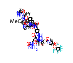 CC[C@H](C)[C@@H]([C@@H](CC(=O)N1CCC[C@H]1[C@H](OC)[C@@H](C)C(=O)N[C@@H](Cc1ccccc1)C(=O)NCc1ccc(NC(=O)[C@H](CCCNC(N)=O)NC(=O)[C@@H](NC(=O)CCC(=O)N2CC[C@H](C(=O)Oc3c(F)c(F)c(F)c(F)c3F)C[C@@H]2C)C(C)C)cc1)OC)N(C)C(=O)[C@@H](NC(=O)[C@H](C(C)C)N(C)C)C(C)C